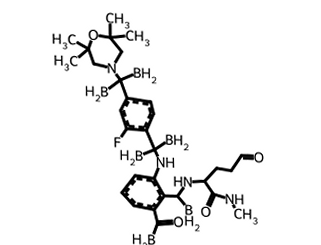 BC(=O)c1cccc(NC(B)(B)c2ccc(C(B)(B)N3CC(C)(C)OC(C)(C)C3)cc2F)c1C(B)NC(CCC=O)C(=O)NC